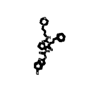 O=C(NC1(C(=O)N(CCc2ccccc2)C(=O)NCCCN2CCOCC2)CCCC1)Oc1cc2cc(Cl)ccc2o1